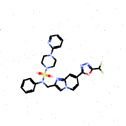 O=S(=O)(N1CCN(c2ccccn2)CC1)N(Cc1cn2ccc(-c3nnc(C(F)F)o3)cc2n1)c1ccccc1